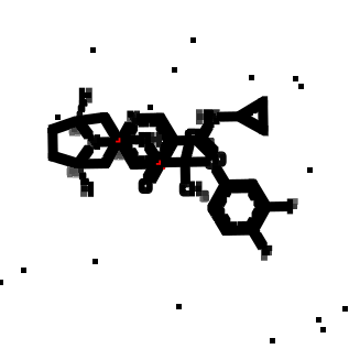 CC(C)(Oc1ccc(F)c(F)c1)C(=O)N[C@H]1C[C@H]2CC[C@@H](C1)N2c1ccc(C(=O)NC2CC2)cn1